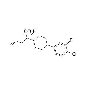 C=CCC(C(=O)O)C1CCC(c2ccc(Cl)c(F)c2)CC1